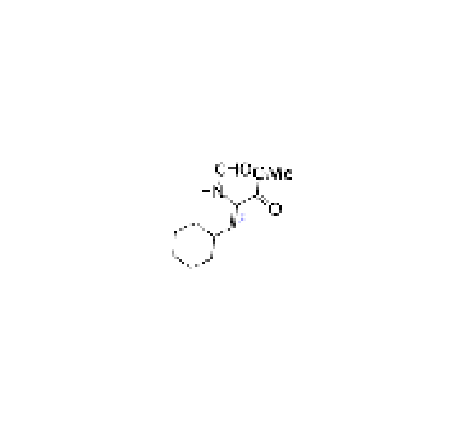 COC(=O)/C(=C/C1CCCCC1)NC=O